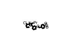 CC(C)c1nc2c(Cl)cccn2c1-c1cccc(OCc2ccc(S(C)(=O)=O)cc2)c1